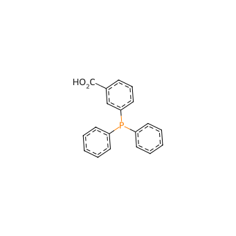 O=C(O)c1cccc(P(c2ccccc2)c2ccccc2)c1